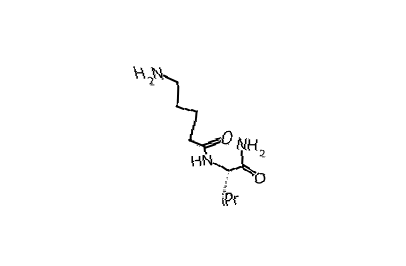 CC(C)[C@H](NC(=O)CCCCN)C(N)=O